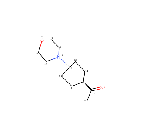 CC(=O)[C@H]1CC[C@H](N2CCOCC2)CC1